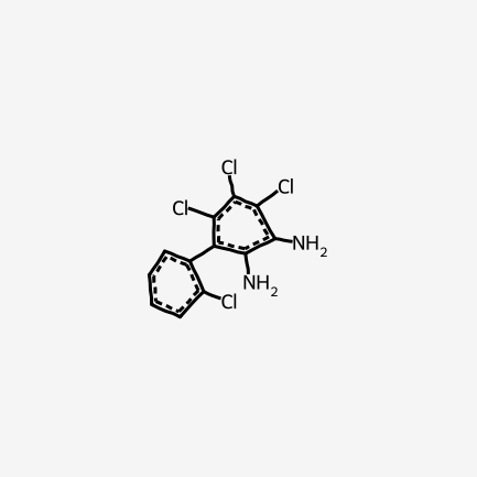 Nc1c(N)c(-c2ccccc2Cl)c(Cl)c(Cl)c1Cl